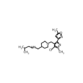 Cc1cc(-c2nn(C)c(Cl)c2CN2CCC(CNCCC(C)C)CC2)no1